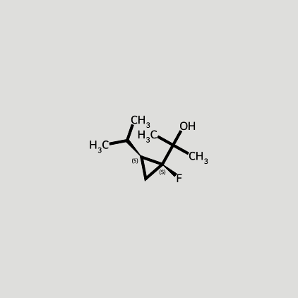 CC(C)[C@@H]1C[C@@]1(F)C(C)(C)O